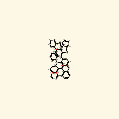 c1ccc(-c2cccc3cccc(-c4ccccc4N(c4cccc(-c5cccc6ccccc56)c4)c4ccccc4-c4cccc5c4oc4ccccc45)c23)cc1